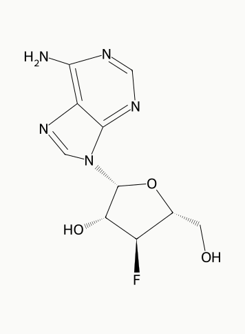 Nc1ncnc2c1ncn2[C@@H]1O[C@H](CO)[C@@H](F)[C@@H]1O